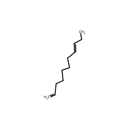 [CH2]CC=CCCCCCC=C